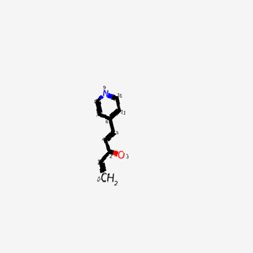 C=CC(=O)C=Cc1ccncc1